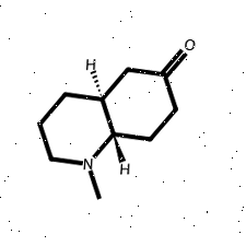 CN1CCC[C@H]2CC(=O)CC[C@@H]21